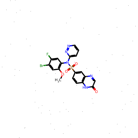 COc1cc(Br)c(F)cc1N(c1cccnn1)S(=O)(=O)c1ccc2[nH]c(=O)cnc2c1